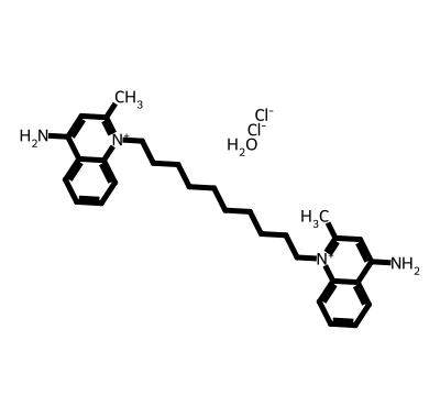 Cc1cc(N)c2ccccc2[n+]1CCCCCCCCCC[n+]1c(C)cc(N)c2ccccc21.O.[Cl-].[Cl-]